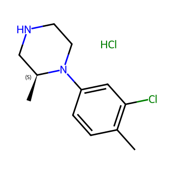 Cc1ccc(N2CCNC[C@@H]2C)cc1Cl.Cl